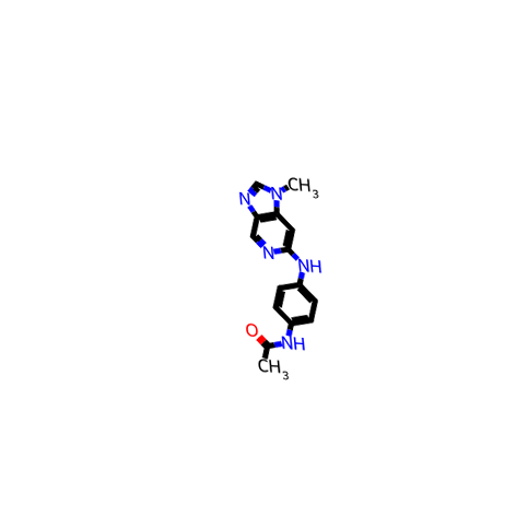 CC(=O)Nc1ccc(Nc2cc3c(cn2)ncn3C)cc1